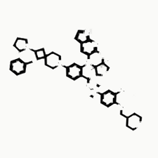 Cc1ccccc1[C@@H]1CCCN1C1CC2(CCN(c3ccc(C(=O)NS(=O)(=O)c4ccc(NCC5CCOCC5)c([N+](=O)[O-])c4)c(N4c5cc6cc[nH]c6nc5O[C@H]5COC[C@H]54)c3)CC2)C1